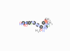 COc1cc(N2CCN(C3CCN(Cc4cc5c(cc4F)C(=O)N(C4CCC(=O)NC4=O)C5)CC3)CC2)ccc1Nc1ncc(Cl)c(Nc2ccccc2P(=O)(OC)OC)n1